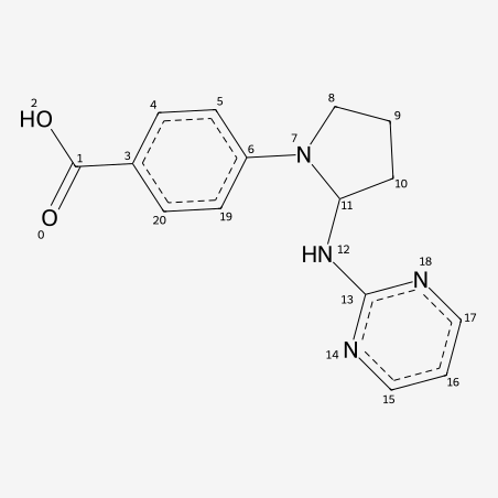 O=C(O)c1ccc(N2CCCC2Nc2ncccn2)cc1